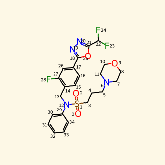 O=S(=O)(CCCN1CCOCC1)N(Cc1ccc(-c2nnc(C(F)F)o2)cc1F)c1ccccc1